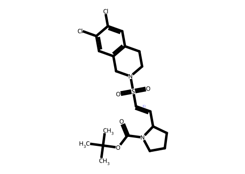 CC(C)(C)OC(=O)N1CCCC1/C=C/S(=O)(=O)N1CCc2cc(Cl)c(Cl)cc2C1